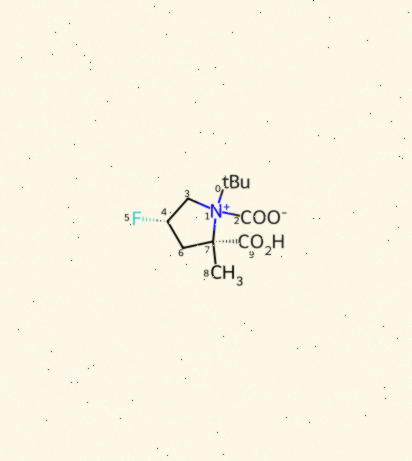 CC(C)(C)[N+]1(C(=O)[O-])C[C@@H](F)C[C@@]1(C)C(=O)O